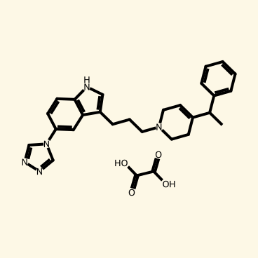 CC(C1=CCN(CCCc2c[nH]c3ccc(-n4cnnc4)cc23)CC1)c1ccccc1.O=C(O)C(=O)O